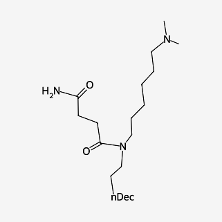 CCCCCCCCCCCCN(CCCCCCN(C)C)C(=O)CCC(N)=O